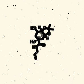 C=CCNC(=O)[C@@]1(O)CC(O)[C@@H]2OC(C)(C)O[C@@H]2C1